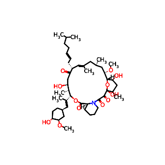 CO[C@H]1C[C@@H](C)C/C(C)=C/[C@@H](C/C=C/CCC(C)C)C(=O)C[C@H](O)[C@@H](C)[C@@H](/C(C)=C/[C@@H]2CC[C@@H](O)[C@H](OC)C2)OC(=O)[C@@H]2CCCCN2C(=O)C(=O)[C@]2(O)O[C@H]1[C@@H](O)C[C@H]2C